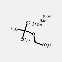 CC(OCC(=O)O)(C(=O)O)C(=O)O.[NaH].[NaH].[NaH]